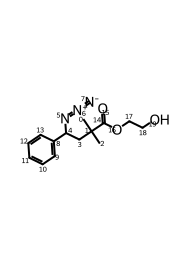 CC(C)(CC(N=[N+]=[N-])c1ccccc1)C(=O)OCCO